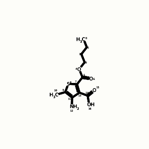 CCCCOC(=O)c1sc(C)c(N)c1C(=O)O